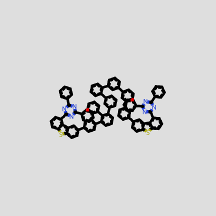 c1ccc(-c2nc(-c3ccccc3)nc(-c3cccc4sc5ccc(-c6ccc(-c7cccc(-c8cccc(-c9ccccc9-c9cccc(-c%10cccc(-c%11cccc(-c%12ccc%13sc%14cccc(-c%15nc(-c%16ccccc%16)nc(-c%16ccccc%16)n%15)c%14c%13c%12)c%11)c%10)c9)c8)c7-c7ccccc7)cc6)cc5c34)n2)cc1